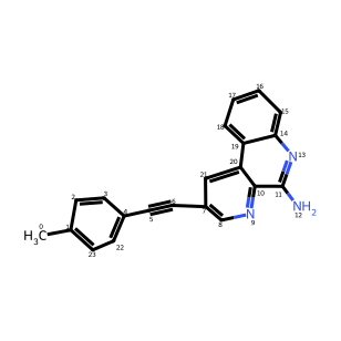 Cc1ccc(C#Cc2cnc3c(N)nc4ccccc4c3c2)cc1